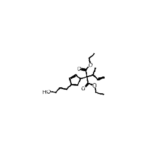 C=CC(C)C(C(=O)OCC)(C(=O)OCC)C1C=CC(CCCO)C1